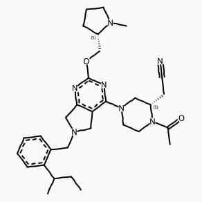 CCC(C)c1ccccc1CN1Cc2nc(OC[C@@H]3CCCN3C)nc(N3CCN(C(C)=O)[C@@H](CC#N)C3)c2C1